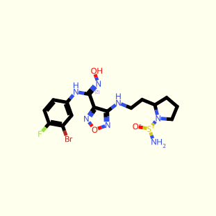 N[S+]([O-])N1CCCC1CCNc1nonc1/C(=N/O)Nc1ccc(F)c(Br)c1